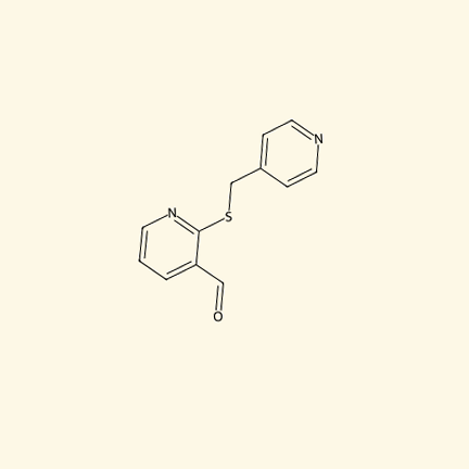 O=Cc1cccnc1SCc1ccncc1